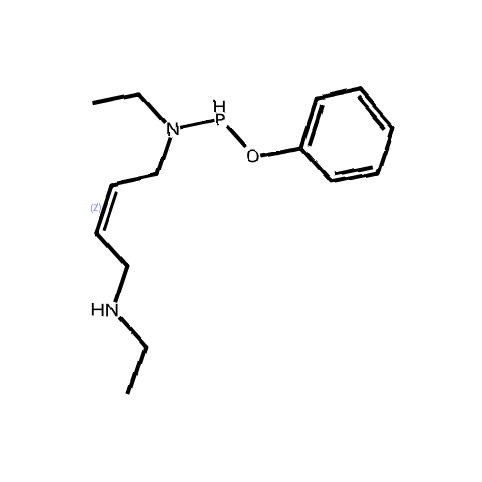 CCNC/C=C\CN(CC)POc1ccccc1